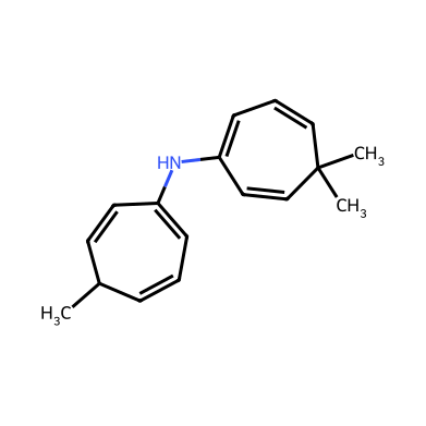 CC1C=CC=C(NC2=CC=CC(C)(C)C=C2)C=C1